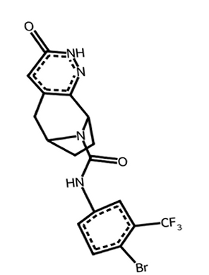 O=C(Nc1ccc(Br)c(C(F)(F)F)c1)N1C2CCC1c1n[nH]c(=O)cc1C2